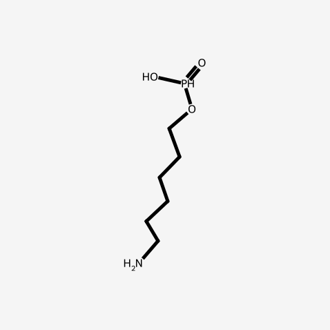 NCCCCCCO[PH](=O)O